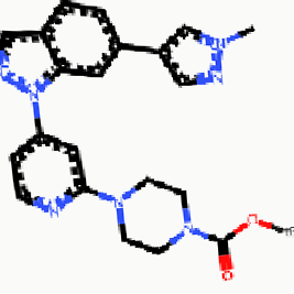 Cn1cc(-c2ccc3cnn(-c4ccnc(N5CCN(C(=O)OC(C)(C)C)CC5)c4)c3c2)cn1